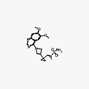 COc1cc2ncnc(N3CC(C4(CN(C)S(N)(=O)=O)CC4)C3)c2cc1OC